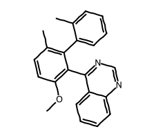 COc1ccc(C)c(-c2ccccc2C)c1-c1ncnc2ccccc12